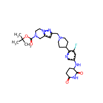 CC(C)(C)OC(=O)N1CCn2nc(CN3CCC(c4ncc(NC5CCC(=O)NC5=O)cc4F)CC3)cc2C1